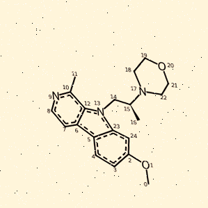 COc1ccc2c3ccnc(C)c3n(C[C@H](C)N3CCOCC3)c2c1